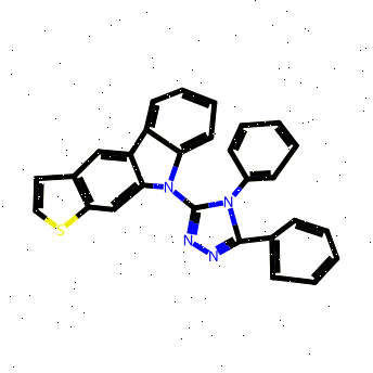 c1ccc(-c2nnc(-n3c4ccccc4c4cc5ccsc5cc43)n2-c2ccccc2)cc1